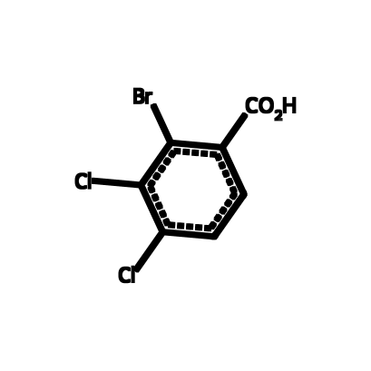 O=C(O)c1ccc(Cl)c(Cl)c1Br